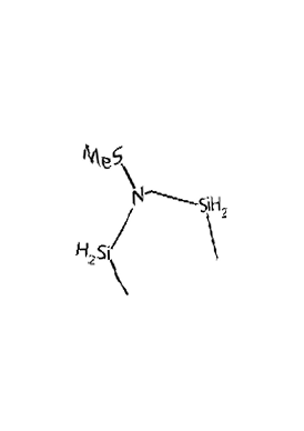 C[SiH2]N([SiH2]C)SC